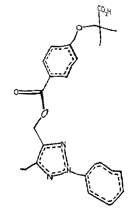 Cc1nn(-c2ccccc2)nc1COC(=O)c1ccc(OC(C)(C)C(=O)O)cc1